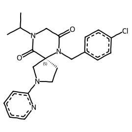 CC(C)N1CC(=O)N(Cc2ccc(Cl)cc2)[C@]2(CCN(c3ccccn3)C2)C1=O